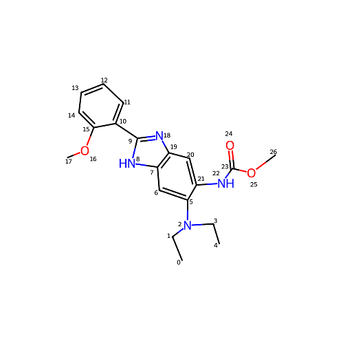 CCN(CC)c1cc2[nH]c(-c3ccccc3OC)nc2cc1NC(=O)OC